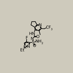 CCn1cc(F)c(S(N)(=O)=NC(=O)Nc2c(C)c(CC(F)(F)F)nc3c2CCC3)n1